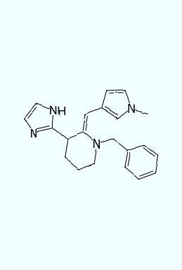 Cn1ccc(C=C2C(c3ncc[nH]3)CCCN2Cc2ccccc2)c1